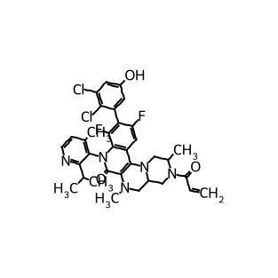 C=CC(=O)N1CC2CN(C)c3c(c4cc(F)c(-c5cc(O)cc(Cl)c5Cl)c(F)c4n(-c4c(C)ccnc4C(C)C)c3=O)N2CC1C